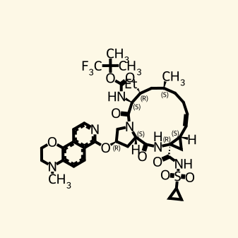 CC[C@@H]1C[C@@H](C)CCC=C[C@@H]2C[C@@]2(C(=O)NS(=O)(=O)C2CC2)NC(=O)[C@@H]2C[C@@H](Oc3nccc4c5c(ccc34)N(C)CCO5)CN2C(=O)[C@H]1NC(=O)OC(C)(C)C(F)(F)F